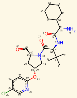 CC(C)(C)[C@H](NC(=O)[C@@H](N)C1CCCCC1)C(=O)N1C[C@H](Oc2ccc(Cl)cn2)C[C@H]1C=O